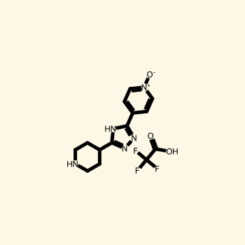 O=C(O)C(F)(F)F.[O-][n+]1ccc(-c2nnc(C3CCNCC3)[nH]2)cc1